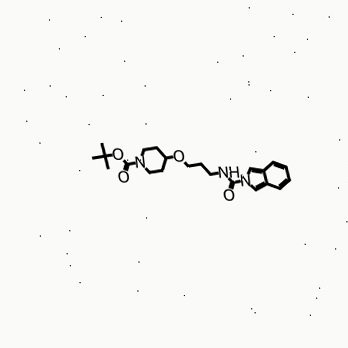 CC(C)(C)OC(=O)N1CCC(OCCCNC(=O)n2cc3ccccc3c2)CC1